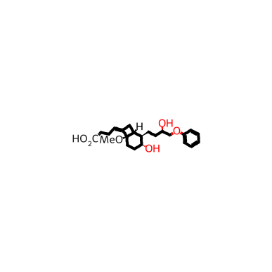 CO[C@]12CC[C@@H](O)[C@H](CC[C@@H](O)COc3ccccc3)[C@H]1C/C2=C/CCC(=O)O